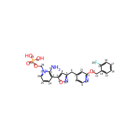 Nc1c(-c2cc(Cc3ccnc(OCc4ccccc4F)c3)no2)ccc[n+]1COP(=O)(O)O